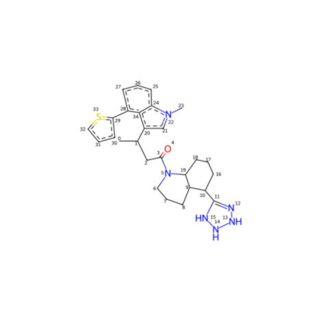 CC(CC(=O)N1CCCC2C(C3=NNNN3)CCCC21)c1cn(C)c2cccc(-c3cccs3)c12